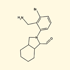 NCc1c(Br)cccc1N1CC2CCCCC2C1C=O